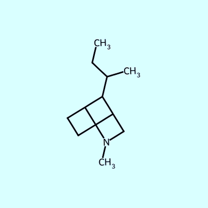 CCC(C)C1C2CCC23C1CN3C